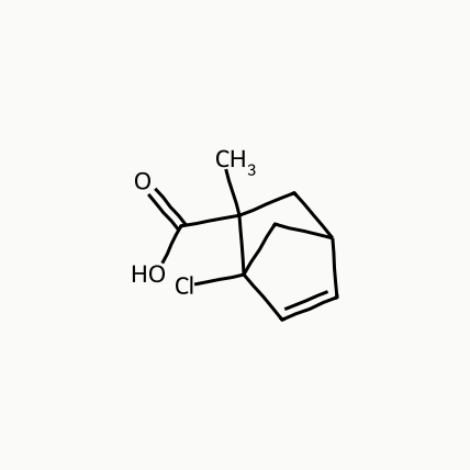 CC1(C(=O)O)CC2C=CC1(Cl)C2